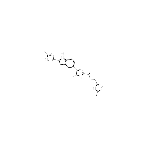 Cc1noc(-c2cc3cc(-c4nc(C(=O)NCc5nnc(C)[nH]5)[nH]c4C)ccc3[nH]2)n1